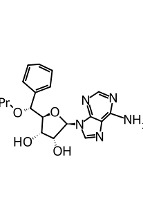 CC(C)O[C@H](c1ccccc1)[C@H]1O[C@@H](n2cnc3c(N)ncnc32)[C@H](O)[C@@H]1O